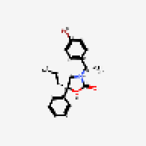 CC(=O)CC[C@]1(c2ccccc2)CN([C@@H](C)c2ccc(Br)cc2)C(=O)O1